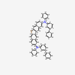 c1ccc(-c2cccc(N(c3ccccc3)c3ccc4cc5sc6cc7ccc(N(c8ccccc8)c8cccc(-c9ccccc9)c8)cc7cc6c5cc4c3)c2)cc1